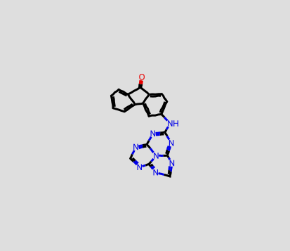 O=C1c2ccccc2-c2cc(NC3=NC4=NC=NC5=NC=NC(=N3)N54)ccc21